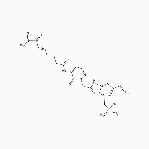 COc1cc(CC(C)(C)C)c2nc(Cn3cccc(NC(=O)CCC/C=C/C(=O)N(C)C)c3=O)[nH]c2c1